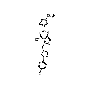 O=C(O)c1cnn(-c2nc(O)c3c(cnn3C[C@H]3CCN(c4ccc(Cl)cc4)C3)n2)c1